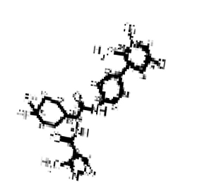 Cc1nocc1C(=O)N[C@H](C(=O)Nc1ccc(-c2cc(Cl)c[n+]([O-])c2C)cc1)C1CCC(F)(F)CC1